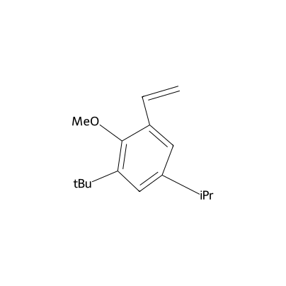 C=Cc1cc(C(C)C)cc(C(C)(C)C)c1OC